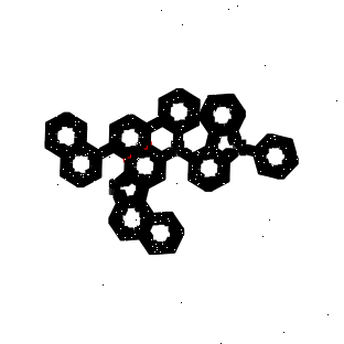 c1ccc(-n2c3ccccc3c3c(N(c4ccc5sc6ccc7ccccc7c6c5c4)c4ccccc4-c4ccc(-c5cccc6ccccc56)cc4)cccc32)cc1